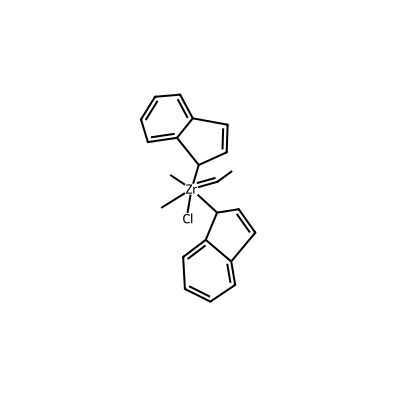 C[CH]=[Zr]([CH3])([CH3])([Cl])([CH]1C=Cc2ccccc21)[CH]1C=Cc2ccccc21